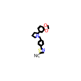 N#Cc1cnc(-c2ccc(CN3CCCC3c3ccc4c(c3)OCCO4)cc2)s1